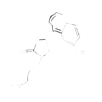 COc1cc(F)c2nccc([C@@H]3CN(CCCN)C(=O)O3)c2c1